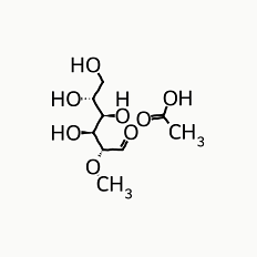 CC(=O)O.CO[C@@H](C=O)[C@@H](O)[C@H](O)[C@H](O)CO